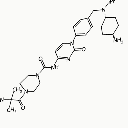 CC(C)N(Cc1ccc(-n2ccc(NC(=O)N3CCN(C(=O)C(C)(C)N)CC3)nc2=O)cc1)[C@H]1CC[C@H](N)CC1